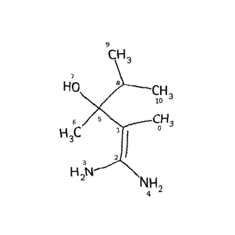 CC(=C(N)N)C(C)(O)C(C)C